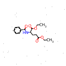 CCOC(=O)CCC(NC(=O)c1cc[c]cc1)C(=O)OCC